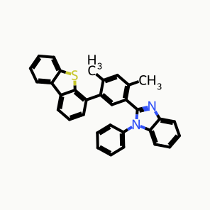 Cc1cc(C)c(-c2nc3ccccc3n2-c2ccccc2)cc1-c1cccc2c1sc1ccccc12